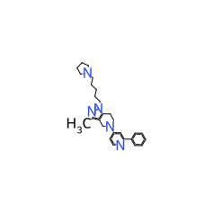 Cc1nn(CCCCCN2CCCC2)c2c1CN(c1ccnc(-c3ccccc3)c1)CC2